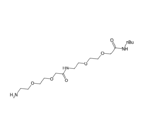 CCCCNC(=O)COCCOCCNC(=O)COCCOCCN